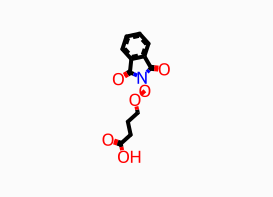 O=C(O)CCCOON1C(=O)c2ccccc2C1=O